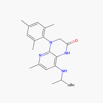 CCCCC(C)Nc1cc(C)nc2c1NC(=O)CN2c1c(C)cc(C)cc1C